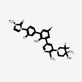 Cc1ncc(-c2cc(F)cc(-c3ccc(-n4ccn(C)c4=O)c(Cl)c3)c2O)cc1N1CC[C@@](C)(O)C(F)(F)C1